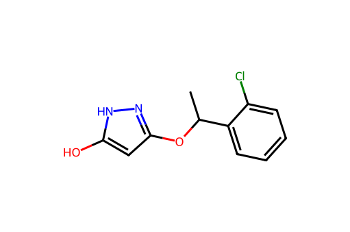 CC(Oc1cc(O)[nH]n1)c1ccccc1Cl